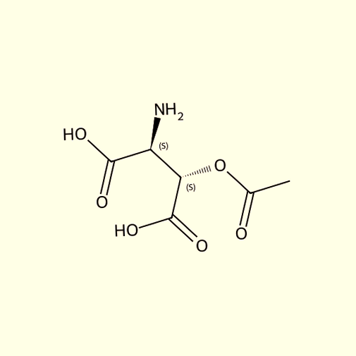 CC(=O)O[C@H](C(=O)O)[C@H](N)C(=O)O